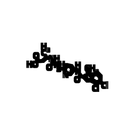 CC(CC(=O)O)NC(=O)NSc1ccc(NC(=O)c2cc3c(Cl)c(Cl)ccc3n2C)cn1